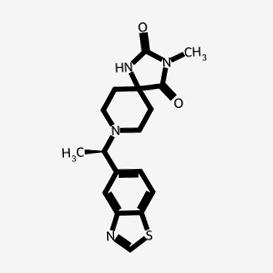 C[C@H](c1ccc2scnc2c1)N1CCC2(CC1)NC(=O)N(C)C2=O